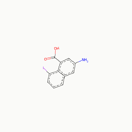 Nc1cc(C(=O)O)c2c(I)cccc2c1